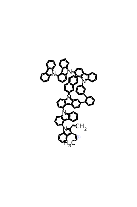 C=Cc1c(/C=C\C)c2ccccc2n1-c1cccc2c1c1ccccc1n2-c1cccc2c1c1ccc(-c3ccccc3-c3cccc(-n4c5ccccc5c5ccc(-n6c7ccccc7c7c(-n8c9ccccc9c9ccccc98)cccc76)cc54)c3)cc1n2-c1ccc2ccccc2c1